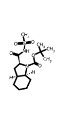 CC(C)(C)OC(=O)N1[C@H](C(=O)NS(C)(=O)=O)C[C@@H]2CCCC[C@@H]21